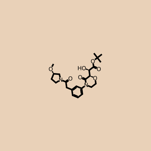 CO[C@@H]1CCN(C(=O)Cc2cccc(N3CCO[C@H]([C@@H](O)C(=O)OC(C)(C)C)C3=O)c2)C1